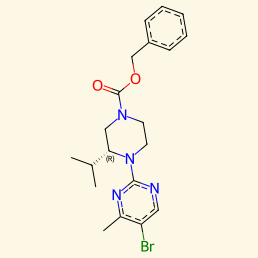 Cc1nc(N2CCN(C(=O)OCc3ccccc3)C[C@H]2C(C)C)ncc1Br